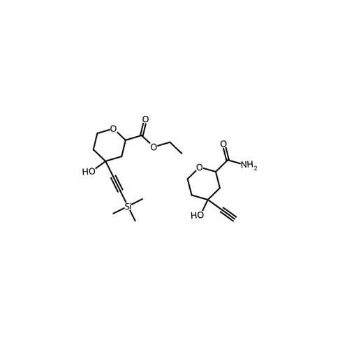 C#CC1(O)CCOC(C(N)=O)C1.CCOC(=O)C1CC(O)(C#C[Si](C)(C)C)CCO1